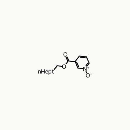 CCCCCCCCOC(=O)c1ccc[n+]([O-])c1